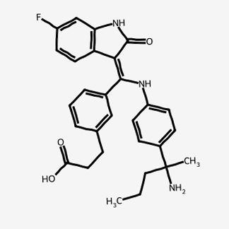 CCCC(C)(N)c1ccc(N/C(=C2\C(=O)Nc3cc(F)ccc32)c2cccc(CCC(=O)O)c2)cc1